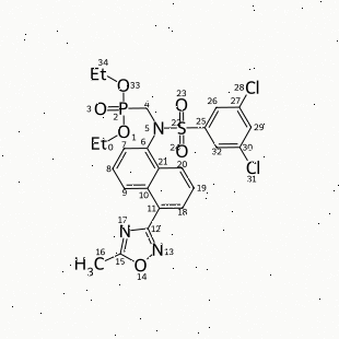 CCOP(=O)(CN(c1cccc2c(-c3noc(C)n3)cccc12)S(=O)(=O)c1cc(Cl)cc(Cl)c1)OCC